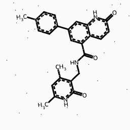 Cc1ccc(-c2cc(C(=O)NCc3c(C)cc(C)[nH]c3=O)c3ccc(=O)[nH]c3c2)cc1